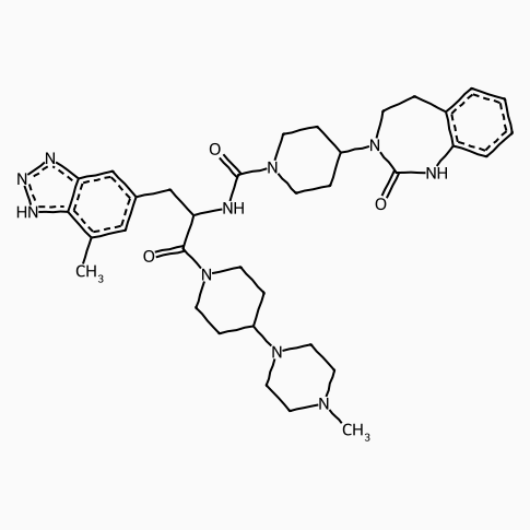 Cc1cc(CC(NC(=O)N2CCC(N3CCc4ccccc4NC3=O)CC2)C(=O)N2CCC(N3CCN(C)CC3)CC2)cc2nn[nH]c12